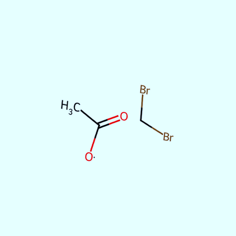 BrCBr.CC([O])=O